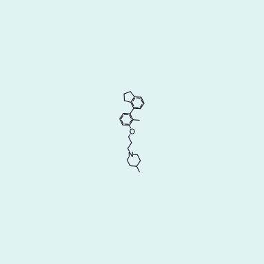 Cc1c(OCCCN2CCC(C)CC2)cccc1-c1cccc2c1CCC2